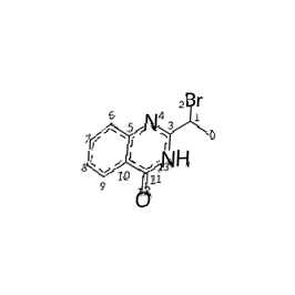 CC(Br)c1nc2ccccc2c(=O)[nH]1